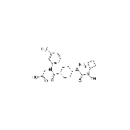 Cc1cccc(N(CC(=O)O)C(=O)C2CCC([C@H](N)C(=O)N(C)C3CCC3)CC2)c1